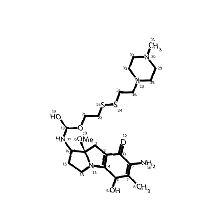 CO[C@@]12CC3=C(C(O)C(C)=C(N)C3=O)N1CCC2NC(O)OCCSSCCN1CCN(C)CC1